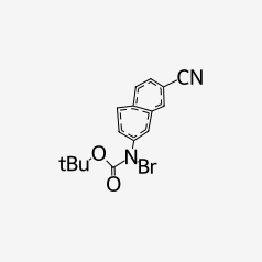 CC(C)(C)OC(=O)N(Br)c1ccc2ccc(C#N)cc2c1